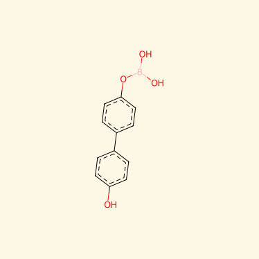 OB(O)Oc1ccc(-c2ccc(O)cc2)cc1